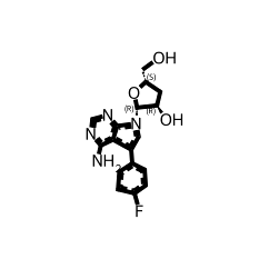 Nc1ncnc2c1c(-c1ccc(F)cc1)cn2[C@@H]1O[C@H](CO)C[C@H]1O